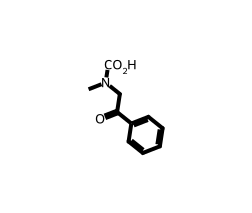 CN(CC(=O)c1ccccc1)C(=O)O